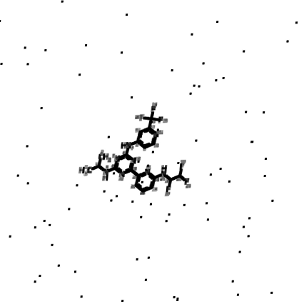 CC(C)Nc1nc(Nc2ccnc(C(F)(F)F)c2)nc(-c2cccc(NC(F)C(F)F)n2)n1